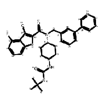 CC(C)(C)OC(=O)N[C@H]1CC[C@H](N(Cc2cccc(-c3cccnc3)c2)C(=O)c2sc3cccc(F)c3c2Cl)CC1